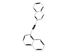 C(#Cc1[c]ccc2ccccc12)c1ccc2ccccc2c1